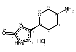 Cl.N[C@@H]1CC[C@@H](c2n[nH]c(=O)o2)OC1